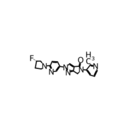 Cc1ncccc1N1Cc2nn(-c3ccc(N4CC[C@H](F)C4)nc3)cc2C1=O